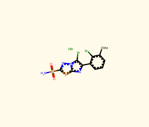 Br.COc1cccc(-c2nc3sc(S(N)(=O)=O)nn3c2Br)c1Br